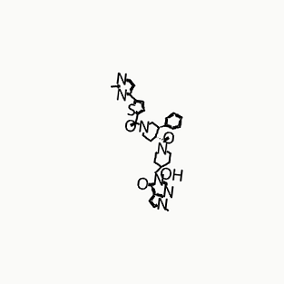 Cc1nccc(-c2ccc(C(=O)N3CC[C@@H](C(=O)N4CCC(O)(Cn5cnc6c(ccn6C)c5=O)CC4)[C@H](c4ccccc4)C3)s2)n1